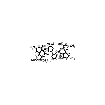 COc1cc(-c2cc(C)cc(C(C)(C)C)c2Op2oc3c(C(C)(C)C)cc(C)cc3c3cc(C)cc(C(C)(C)C)c3o2)c(Op2oc3c(C)cc(C)cc3c3cc(C)cc(C)c3o2)c(C(C)(C)C)c1